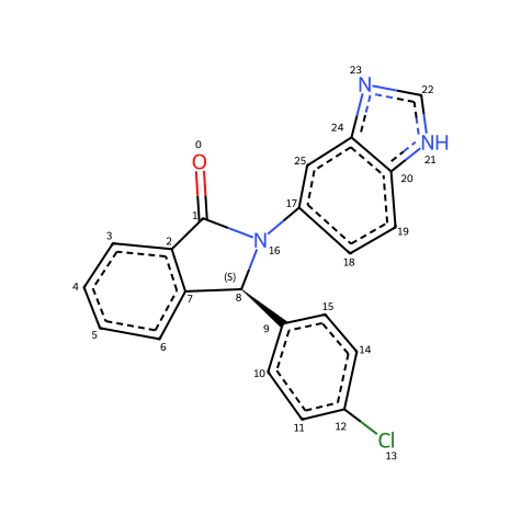 O=C1c2ccccc2[C@H](c2ccc(Cl)cc2)N1c1ccc2[nH]cnc2c1